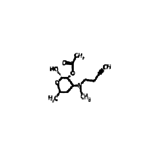 C#CCCN(C)[C@H]1C[C@@H](C)O[C@H](O)[C@@H]1OC(C)=O